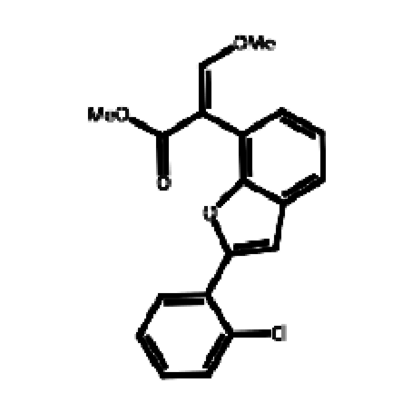 CO/C=C(/C(=O)OC)c1cccc2cc(-c3ccccc3Cl)oc12